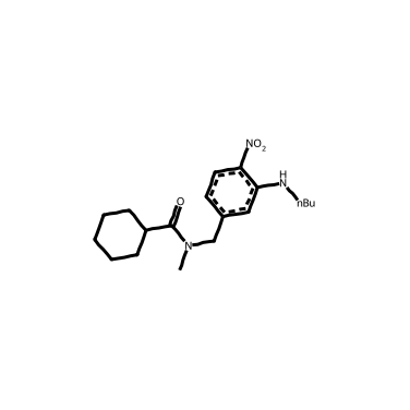 CCCCNc1cc(CN(C)C(=O)C2CCCCC2)ccc1[N+](=O)[O-]